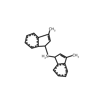 CC1=CC([SiH2]C2C=C(C)c3ccccc32)c2ccccc21